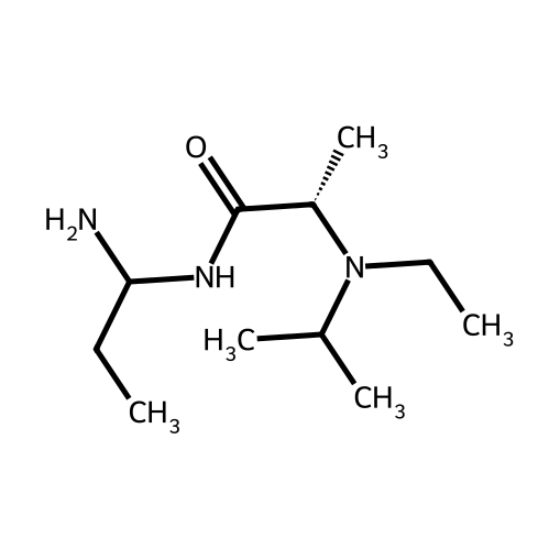 CCC(N)NC(=O)[C@H](C)N(CC)C(C)C